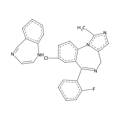 C1=CNc2ccccc2C=N1.Cc1ncc2n1-c1ccc(Cl)cc1C(c1ccccc1F)=NC2